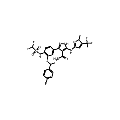 CC(Oc1cc(-c2n[nH]c(Nc3cc(C(F)(F)F)n(C)n3)c2C(N)=O)ccc1NS(=O)(=O)C(F)F)c1ccc(F)cc1